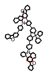 c1ccc(C2(c3ccccc3)c3ccc(-c4ccc(-c5ccc6oc7ccccc7c6c5)c(N(c5ccc(-c6ccc7oc8ccccc8c7c6)cc5)c5cccc6ccccc56)c4)cc3-c3ccc(-c4ccc(N(c5ccccc5-c5ccc6oc7ccccc7c6c5)c5cccc6ccccc56)cc4)cc32)cc1